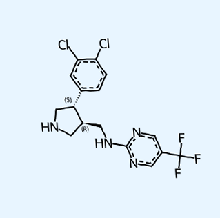 FC(F)(F)c1cnc(NC[C@H]2CNC[C@@H]2c2ccc(Cl)c(Cl)c2)nc1